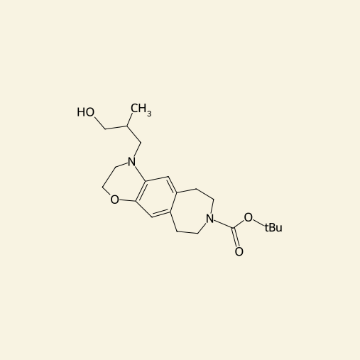 CC(CO)CN1CCOc2cc3c(cc21)CCN(C(=O)OC(C)(C)C)CC3